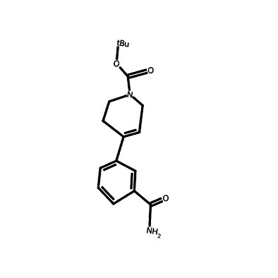 CC(C)(C)OC(=O)N1CC=C(c2cccc(C(N)=O)c2)CC1